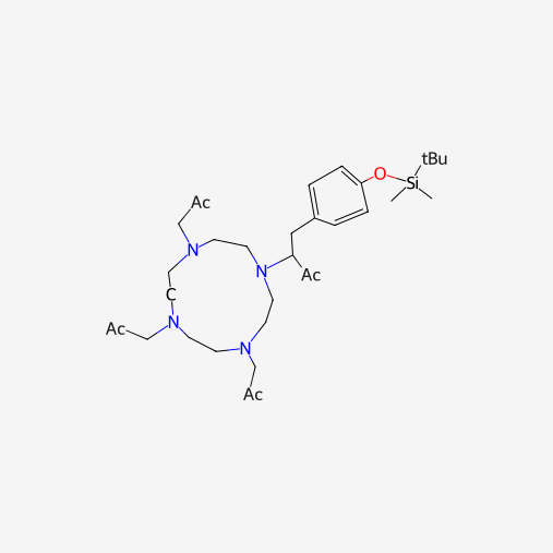 CC(=O)CN1CCN(CC(C)=O)CCN(C(Cc2ccc(O[Si](C)(C)C(C)(C)C)cc2)C(C)=O)CCN(CC(C)=O)CC1